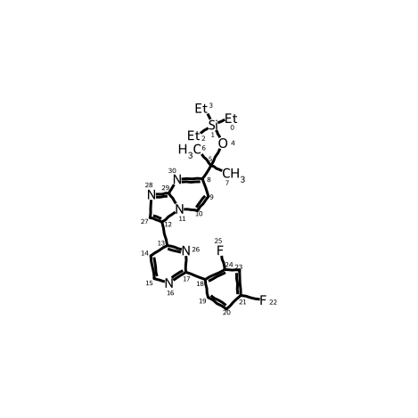 CC[Si](CC)(CC)OC(C)(C)c1ccn2c(-c3ccnc(-c4ccc(F)cc4F)n3)cnc2n1